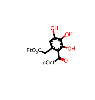 CCCCCCCCC(=O)c1c(CC(=O)OCC)cc(O)c(O)c1O